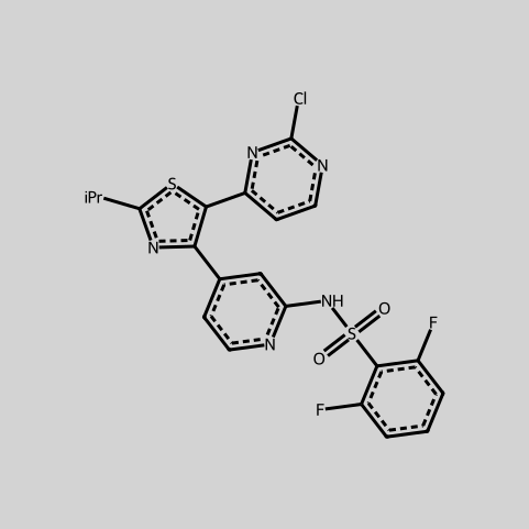 CC(C)c1nc(-c2ccnc(NS(=O)(=O)c3c(F)cccc3F)c2)c(-c2ccnc(Cl)n2)s1